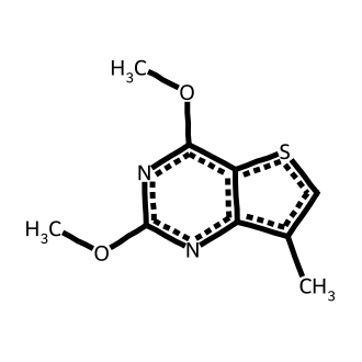 COc1nc(OC)c2scc(C)c2n1